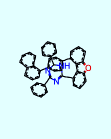 c1ccc(C2=NC(c3ccccc3)NC(c3cccc4oc5cccc(-c6ccc(-c7cccc8ccccc78)cc6)c5c34)=N2)cc1